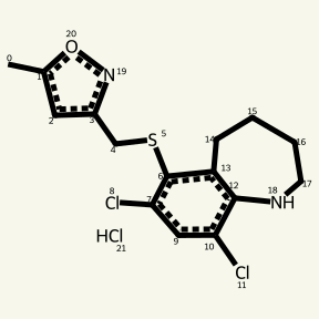 Cc1cc(CSc2c(Cl)cc(Cl)c3c2CCCCN3)no1.Cl